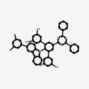 Cc1cc(C)cc(-c2ccc3c(c2)c2ccccc2n3-c2c(-c3cc(C#N)cc(C#N)c3)cc(-c3nc(-c4ccccc4)nc(-c4ccccc4)n3)cc2-c2cc(C#N)cc(C#N)c2)c1